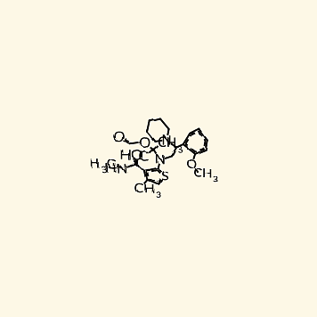 CNC(=O)c1c(C)csc1N(CC(c1ccccc1OC)N1CCCCC1)C(C)(C)OC=O